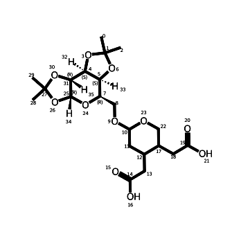 CC1(C)O[C@H]2[C@@H](O1)[C@@H](COC1CC(CC(=O)O)C(CC(=O)O)CO1)O[C@@H]1OC(C)(C)O[C@@H]12